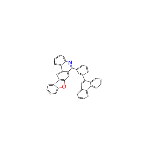 c1cc(-c2cc3ccccc3c3ccccc23)cc(-c2nc3ccccc3c3cc4c(cc23)oc2ccccc24)c1